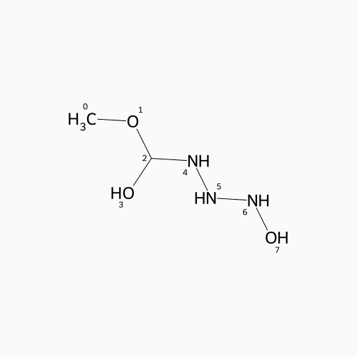 COC(O)NNNO